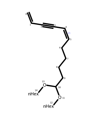 C=CC#C/C=C\CCCCC(OCCCCCC)OCCCCCC